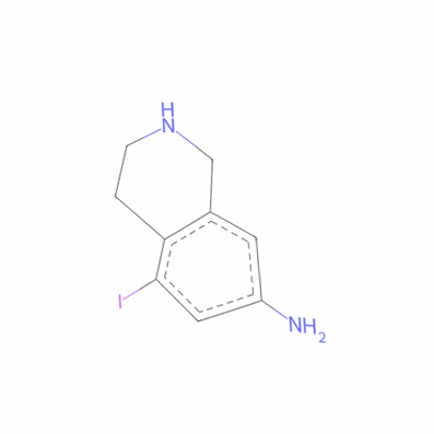 Nc1cc(I)c2c(c1)CNCC2